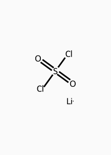 O=S(=O)(Cl)Cl.[Li]